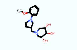 O[C@H]1[C@H](O)CN(C[C@H]2CCN(c3ccccc3OC(F)(F)F)C2)C[C@@H]1O